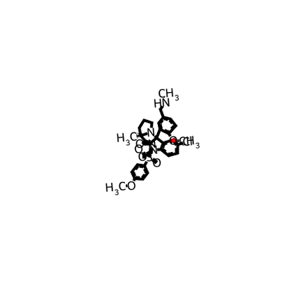 CNCc1ccc(OC)c(C2(N3CCC[C@@]3(C)c3ncco3)C(=O)N(S(=O)(=O)c3ccc(OC)cc3)c3ccc(Cl)cc32)c1